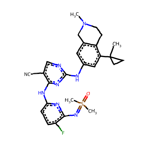 CN1CCc2c(cc(Nc3ncc(C#N)c(Nc4ccc(F)c(N=S(C)(C)=O)n4)n3)cc2C2(C)CC2)C1